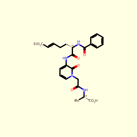 CCOC(=O)/C=C/CC[C@H](NC(=O)c1ccccc1)C(=O)Nc1cccn(CC(=O)N[C@H](C(=O)O)C(C)CC)c1=O